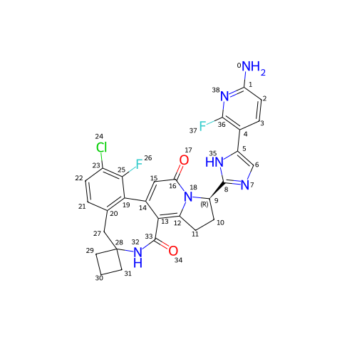 Nc1ccc(-c2cnc([C@H]3CCc4c5c(cc(=O)n43)-c3c(ccc(Cl)c3F)CC3(CCC3)NC5=O)[nH]2)c(F)n1